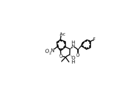 CC(=O)c1cc2c(c([N+](=O)[O-])c1)OC(C)(C)[C@@H](O)[C@@H]2NC(=O)c1ccc(F)cc1